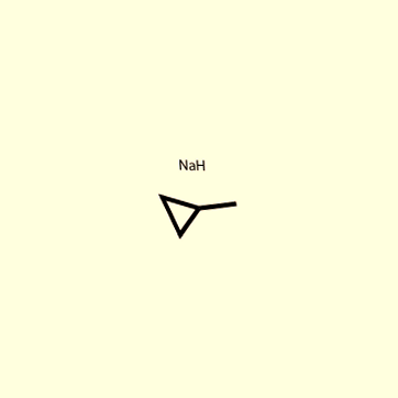 CC1CC1.[NaH]